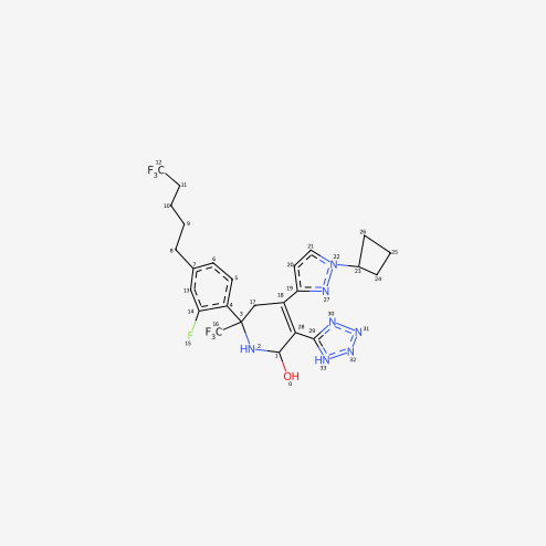 OC1NC(c2ccc(CCCCC(F)(F)F)cc2F)(C(F)(F)F)CC(c2ccn(C3CCC3)n2)=C1c1nnn[nH]1